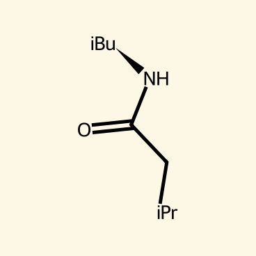 CC[C@H](C)NC(=O)CC(C)C